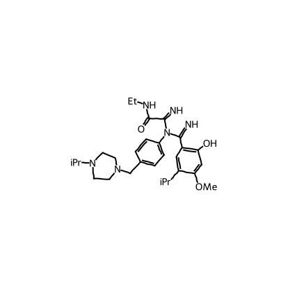 CCNC(=O)C(=N)N(C(=N)c1cc(C(C)C)c(OC)cc1O)c1ccc(CN2CCN(C(C)C)CC2)cc1